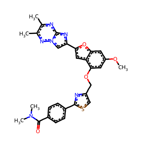 COc1cc(OCc2csc(-c3ccc(C(=O)N(C)C)cc3)n2)c2cc(-c3cn4nc(C)c(C)nc4n3)oc2c1